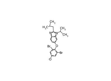 CC(C)Cc1nc2ccc(Oc3c(Br)cc([O])cc3Br)cc2n1C(C)C